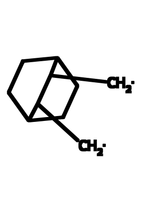 [CH2]C1C2CCC(CC2)C1[CH2]